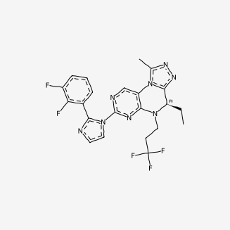 CC[C@@H]1c2nnc(C)n2-c2cnc(-n3ccnc3-c3cccc(F)c3F)nc2N1CCC(F)(F)F